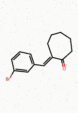 O=C1CCCCC/C1=C\c1cccc(Br)c1